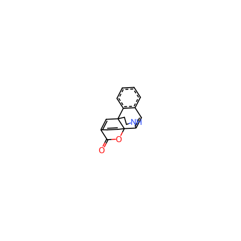 O=C1OC23C=CC1=CC21CCNC3=Cc2ccccc21